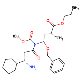 C[C@H](C[C@H](OCc1ccccc1)N(C(=O)C[C@H](N)C1CCCCC1)C(=O)OC(C)(C)C)C(=O)OCC[SiH3]